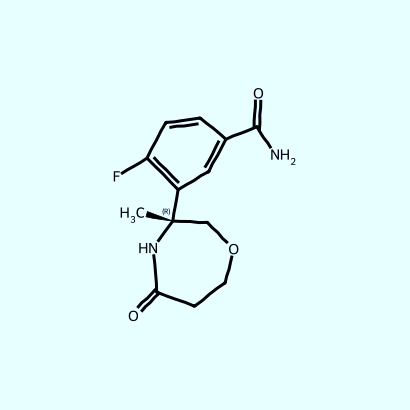 C[C@@]1(c2cc(C(N)=O)ccc2F)COCCC(=O)N1